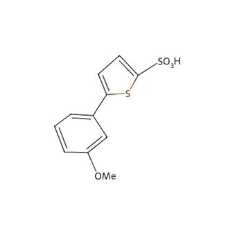 COc1cccc(-c2ccc(S(=O)(=O)O)s2)c1